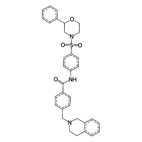 O=C(Nc1ccc(S(=O)(=O)N2CCOC(c3ccccc3)C2)cc1)c1ccc(CN2CCc3ccccc3C2)cc1